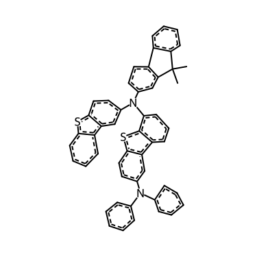 CC1(C)c2ccccc2-c2ccc(N(c3ccc4sc5ccccc5c4c3)c3cccc4c3sc3ccc(N(c5ccccc5)c5ccccc5)cc34)cc21